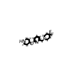 FC1(F)CCN(Cc2cccc(OC3CCNCC3)n2)CC1